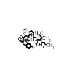 CCCC[C@@H]([C@@H](C)CC)[C@@H](CC(=O)N1CCC[C@H]1[C@H](OC)[C@@H](C)C(=O)N[C@H](C=O)Cc1ccc(F)cc1)OC